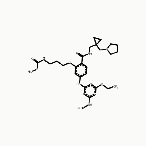 CCCCCCCCCNc1nc(Nc2ccc(C(=O)NCC3(CN4CCCC4)CC3)c(OCCCNC(=O)OC(C)(C)C)c2)nc(OCC(F)(F)F)n1